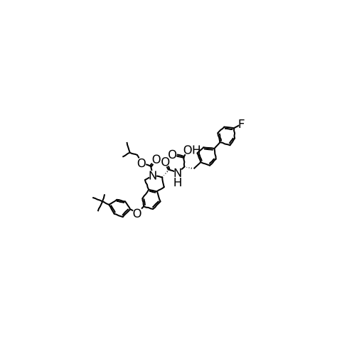 CC(C)COC(=O)N1Cc2cc(Oc3ccc(C(C)(C)C)cc3)ccc2C[C@H]1C(=O)N[C@@H](Cc1ccc(-c2ccc(F)cc2)cc1)C(=O)O